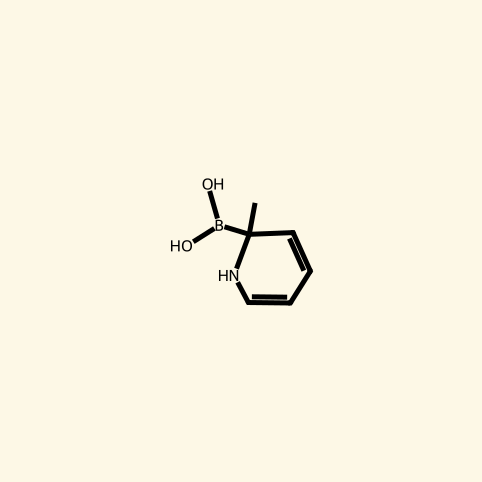 CC1(B(O)O)C=CC=CN1